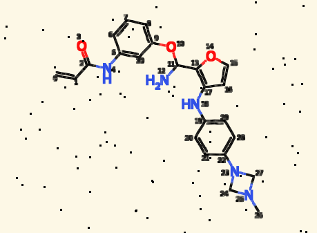 C=CC(=O)Nc1cccc(OC(N)c2occc2Nc2ccc(N3CN(C)C3)cc2)c1